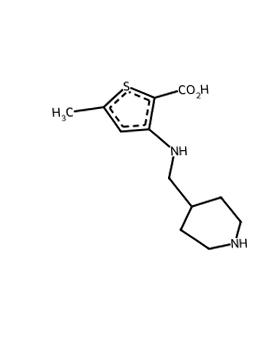 Cc1cc(NCC2CCNCC2)c(C(=O)O)s1